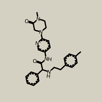 Cc1ccc(CCNC(C(=O)Nc2ccc(N3CCN(C)C(=O)C3)nc2)c2ccccc2)cc1